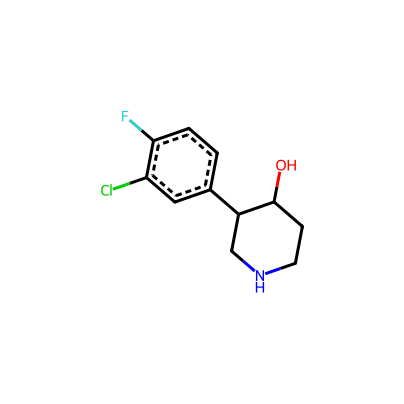 OC1CCNCC1c1ccc(F)c(Cl)c1